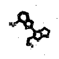 C=CC1=C(c2cc3cccc(C)c3s2)N2CCN=C2S1